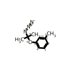 Cc1cccc(OC(C)(C)N=[N+]=[N-])c1